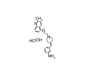 Cc1ccc2c(OCCN3CCC(=Cc4cccc(N)c4)CC3)cccc2n1.Cl.Cl